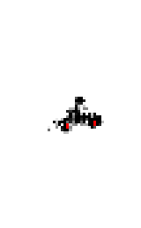 NCCCC[C@@H](NC1CCCCC1)C(=O)N1CCN(C(=O)Oc2ccc3ccccc3c2Cl)C[C@H]1C(=O)NCc1cccs1